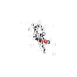 CC[C@H](C)[C@H](NC(=O)[C@H](Cc1c[nH]cn1)NC(=O)[C@H](Cc1ccc(O)cc1)NC(=O)[C@H](CCSC)NC(=O)CNC(=O)[C@@H](N)CC(=O)O)C(=O)N[C@H](C(=O)N[C@@H](Cc1c[nH]c2ccccc12)C(=O)N[C@@H](CC(C)C)C(=O)N[C@@H](CCC(=O)O)C(=O)N[C@@H](C)C(=O)N[C@@H](CC(N)=O)C(=O)O)[C@@H](C)O